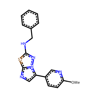 COc1ccc(-c2cnc3sc(NCc4ccccc4)nn23)cn1